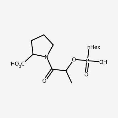 CCCCCCP(=O)(O)OC(C)C(=O)N1CCCC1C(=O)O